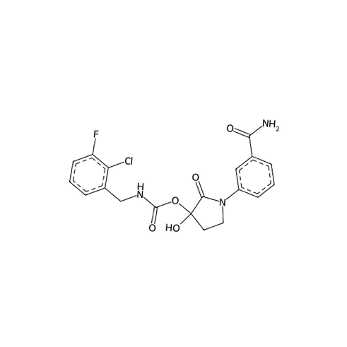 NC(=O)c1cccc(N2CCC(O)(OC(=O)NCc3cccc(F)c3Cl)C2=O)c1